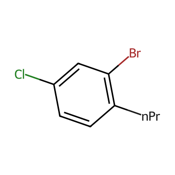 CCCc1ccc(Cl)cc1Br